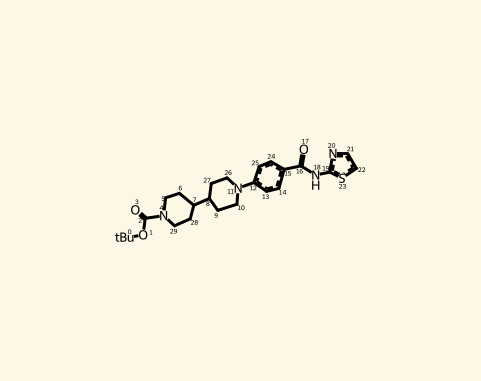 CC(C)(C)OC(=O)N1CCC(C2CCN(c3ccc(C(=O)Nc4nccs4)cc3)CC2)CC1